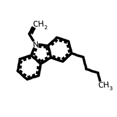 C=Cn1c2ccccc2c2cc(CCCC)ccc21